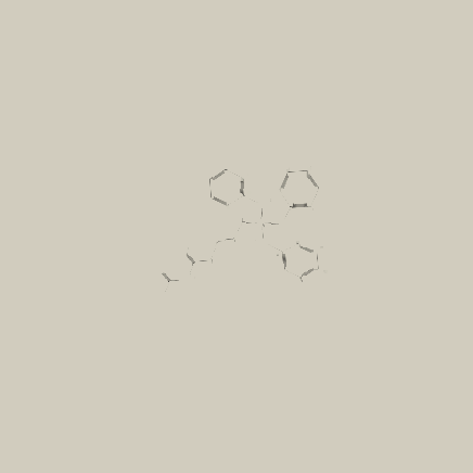 CC(=O)OC(=O)CCCC[Si](Oc1ccccc1)(Oc1ccccc1)Oc1ccccc1